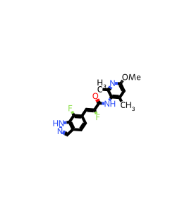 COc1cc(C)c(NC(=O)/C(F)=C/c2ccc3cn[nH]c3c2F)c(C)n1